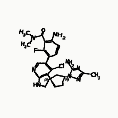 Cc1nc(N)n([C@@H]2CC[C@]3(CNc4ncc(-c5ccc(N)c(C(=O)N(C)C)c5F)c(Cl)c43)C2)n1